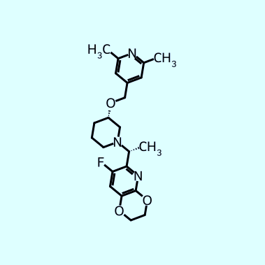 Cc1cc(CO[C@H]2CCCN([C@H](C)c3nc4c(cc3F)OCCO4)C2)cc(C)n1